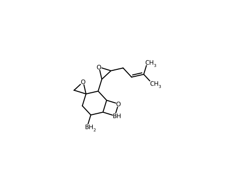 BC1CC2(CO2)C(C2OC2CC=C(C)C)C2OBC12